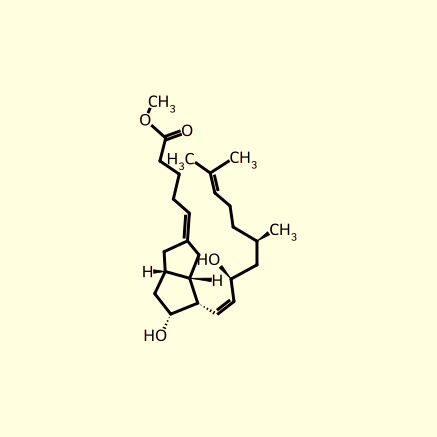 COC(=O)CCC/C=C1\C[C@H]2C[C@@H](O)[C@@H](/C=C\[C@@H](O)C[C@H](C)CCC=C(C)C)[C@H]2C1